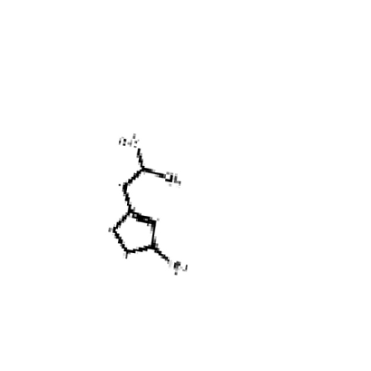 CCCCC1C=C(CC(C)C=O)CC1